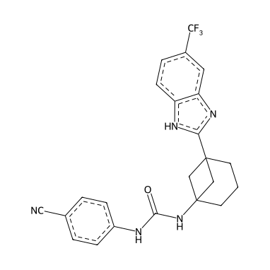 N#Cc1ccc(NC(=O)NC23CCCC(c4nc5cc(C(F)(F)F)ccc5[nH]4)(C2)C3)cc1